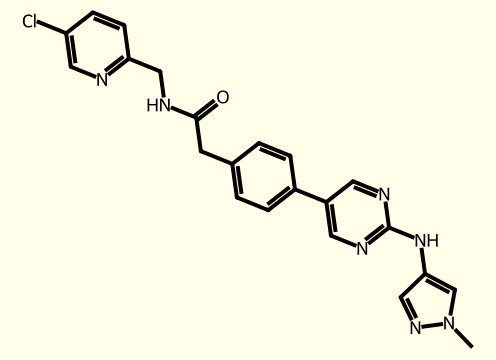 Cn1cc(Nc2ncc(-c3ccc(CC(=O)NCc4ccc(Cl)cn4)cc3)cn2)cn1